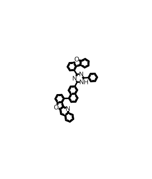 c1ccc(C2=NC(c3cccc4oc5ccccc5c34)=NC(c3ccc4c(-c5cccc6oc7cc8ccccc8nc7c56)cccc4c3)N2)cc1